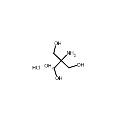 Cl.NC(CO)(CO)CO.O